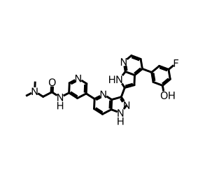 CN(C)CC(=O)Nc1cncc(-c2ccc3[nH]nc(-c4cc5c(-c6cc(O)cc(F)c6)ccnc5[nH]4)c3n2)c1